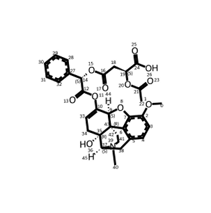 COc1ccc2c3c1O[C@@H]1C(OC(=O)[C@@H](OC(=O)C[C@H](OC(C)=O)C(=O)O)c4ccccc4)=CC[C@]4(O)[C@H](C2)N(C)CC[C@@]314